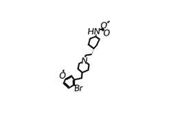 COC(=O)N[C@H]1CC[C@H](CCN2CCC(Cc3cc(OC)ccc3Br)CC2)CC1